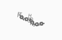 Cc1ccc(N2CCC(Oc3ccc(S(=O)(=O)NC4CCN(Cc5ccc(C(F)(F)F)cc5)CC4)cn3)CC2)cc1